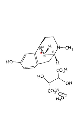 CN1CC[C@]23CCCC[C@H]2[C@H]1Cc1ccc(O)cc13.O.O.O=C(O)C(O)C(O)C(=O)O